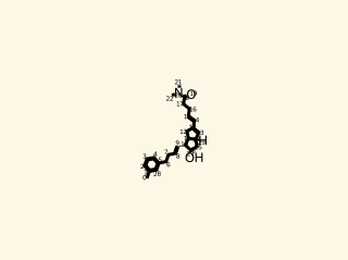 Cc1cccc(CC/C=C/[C@@H]2C3CC(/C=C/CCC(=O)N(C)C)=C[C@H]3C[C@H]2O)c1